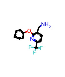 NCc1ccc(C(F)(F)F)nc1Oc1ccccc1